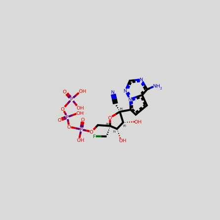 N#C[C@@]1(c2ccc3c(N)ncnn23)O[C@](CF)(COP(=O)(O)OP(=O)(O)OP(=O)(O)O)[C@@H](O)[C@H]1O